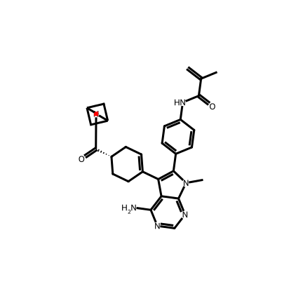 C=C(C)C(=O)Nc1ccc(-c2c(C3=CC[C@@H](C(=O)N4CC5CC4C5)CC3)c3c(N)ncnc3n2C)cc1